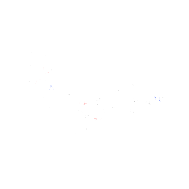 CC(C)(C)OC(=O)N1CCC(c2cccc3c2OC[C@@H](c2ccc(C#N)cc2)O3)CC1